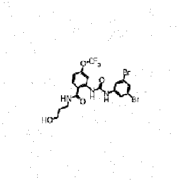 O=C(Nc1cc(Br)cc(Br)c1)Nc1cc(OC(F)(F)F)ccc1C(=O)NCCCO